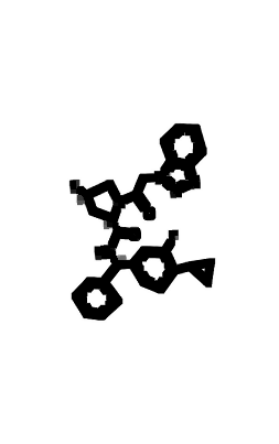 O=C(N[C@@H](c1ccccc1)c1ccc(C2CC2)c(F)c1)[C@@H]1C[C@@H](F)CN1C(=O)Cn1nnc2ccccc21